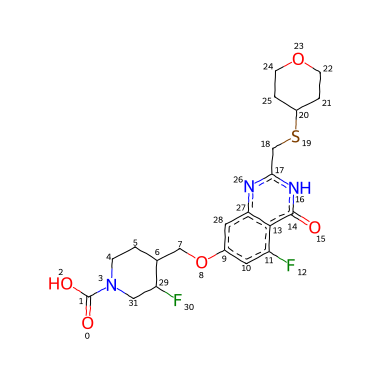 O=C(O)N1CCC(COc2cc(F)c3c(=O)[nH]c(CSC4CCOCC4)nc3c2)C(F)C1